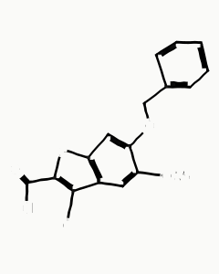 COc1cc2c(Cl)c(C(=O)Cl)sc2cc1OCc1ccccc1